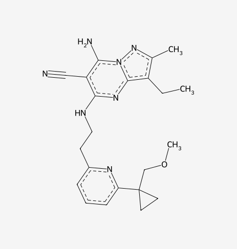 CCc1c(C)nn2c(N)c(C#N)c(NCCc3cccc(C4(COC)CC4)n3)nc12